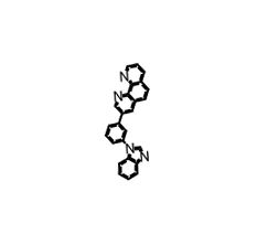 c1cc(-c2cnc3c(ccc4cccnc43)c2)cc(-n2cnc3ccccc32)c1